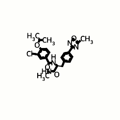 CNC(=O)[C@H](Cc1ccc(-c2noc(C)n2)cc1)NC(=O)c1ccc(OC(C)C)c(Cl)c1